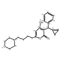 O=c1oc(CCCCN2CCOCC2)cc(O)c1C(c1ccccc1)C1CC1